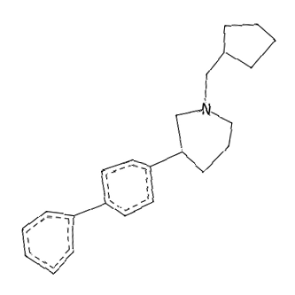 c1ccc(-c2ccc(C3CCCN(CC4CCCC4)C3)cc2)cc1